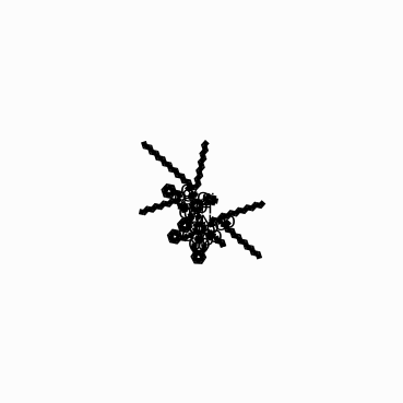 C=CCOC(=O)O[C@@H]1[C@@H](NC(=O)C[C@@H](CCCCCCCCCCC)OC(=O)CCCCCCCCCCC)[C@H](OC[C@H]2O[C@@H](O[Si](C)(C)C(C)(C)C)[C@H](C(=O)C[C@@H](CCCCCCCCCCC)C(=O)CCCCCCCCCCCCCCC)[C@@H](OC(=O)C[C@@H](CCCCCCCCC)OCc3ccccc3)[C@@H]2OCc2ccccc2)O[C@H](COCc2ccccc2)[C@H]1OP1(=O)OCc2ccccc2CO1